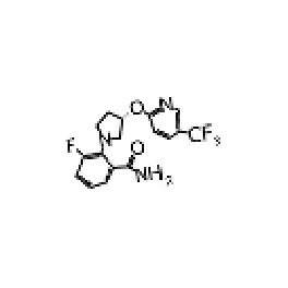 NC(=O)c1cccc(F)c1N1CC[C@H](Oc2ccc(C(F)(F)F)cn2)C1